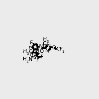 Cc1nc(OCC(F)(F)F)cnc1C(=O)Nc1cc(F)c(F)c([C@@]2(C)N=C(N)S[C@@]3(C(F)F)C[C@@H]23)c1